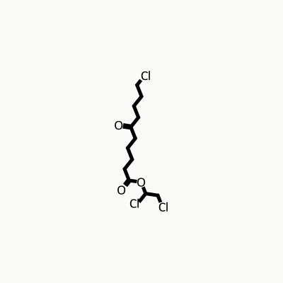 O=C(CCCCCl)CCCCC(=O)OC(Cl)CCl